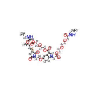 CC(C)CNC(=O)COCCOCCOC(=O)Cn1cc(C(=O)OCCOCCOCC(=O)NCC(C)C)c2cc(OCCN3C(=O)CC(SCC(=O)C(C)C)C3=O)ccc21